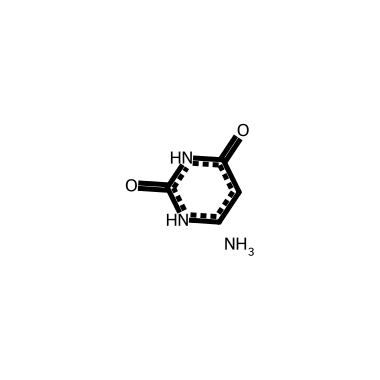 N.O=c1cc[nH]c(=O)[nH]1